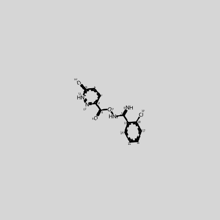 N=C(NOC(=O)c1ccc(=O)[nH]n1)c1ccccc1Cl